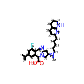 CC(C)c1cc(F)c(C#N)c([C@@H](C(=O)O)N2CC[C@@H](N(C)CCCCCc3ccc4c(n3)NCCC4)C2)c1